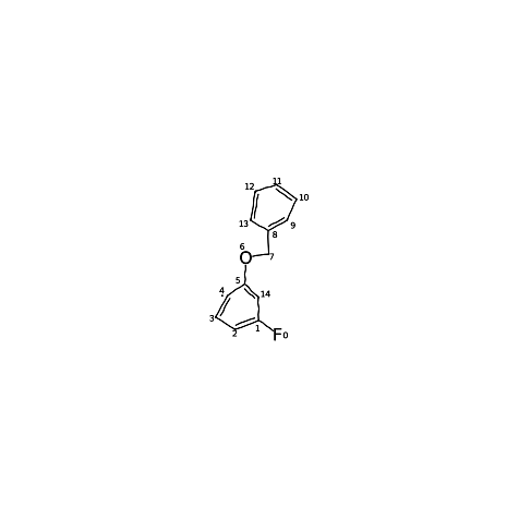 Fc1cc[c]c(OCc2ccccc2)c1